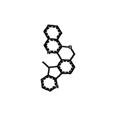 CC1c2cccnc2-c2ccc3c(c21)-c1ncc2ccccc2c1OC3